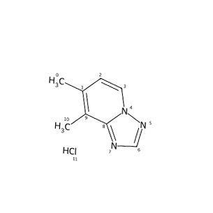 Cc1ccn2ncnc2c1C.Cl